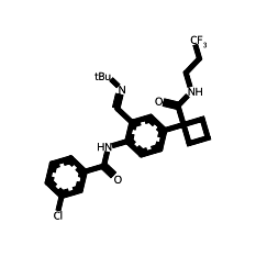 CC(C)(C)N=Cc1cc(C2(C(=O)NCCC(F)(F)F)CCC2)ccc1NC(=O)c1cccc(Cl)c1